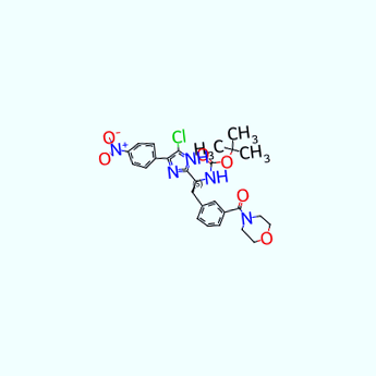 CC(C)(C)OC(=O)N[C@@H](Cc1cccc(C(=O)N2CCOCC2)c1)c1nc(-c2ccc([N+](=O)[O-])cc2)c(Cl)[nH]1